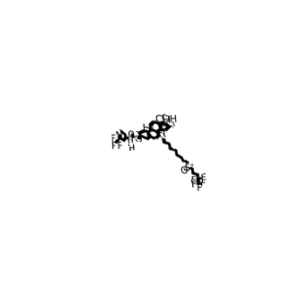 C[C@]12CC[C@@H]3c4ccc(OC(=O)Nc5ccnc(C(F)(F)F)c5)cc4C[C@@H](CCCCCCCCC[S+]([O-])CCCC(F)(F)C(F)(F)F)[C@H]3[C@@H]1CC[C@@H]2O